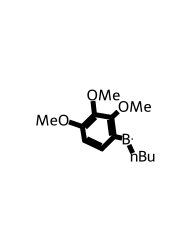 CCCC[B]c1ccc(OC)c(OC)c1OC